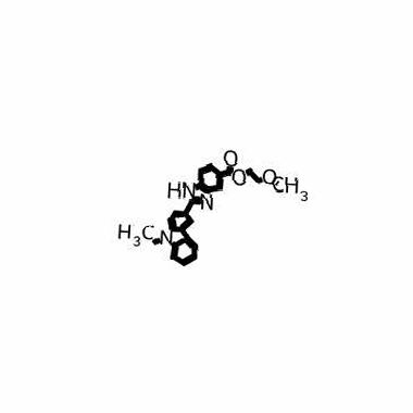 CCn1c2ccccc2c2cc(-c3nc4cc(C(=O)OCCOC)ccc4[nH]3)ccc21